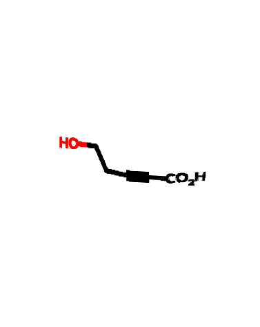 O=C(O)C#CCCO